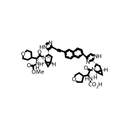 COC(=O)N[C@H](C(=O)N1[C@@H]2C[C@@H]2C[C@H]1c1[nH]cnc1C#Cc1ccc2cc(-c3c[nH]c([C@@H]4C[C@H]5C[C@H]5N4C(=O)[C@@H](NC(=O)O)C4CCOCC4)n3)ccc2c1)C1CCOCC1